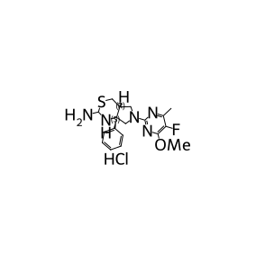 COc1nc(N2C[C@H]3CSC(N)N[C@@]3(c3ccccc3)C2)nc(C)c1F.Cl